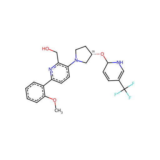 COc1ccccc1-c1ccc(N2CC[C@H](OC3C=CC(C(F)(F)F)=CN3)C2)c(CO)n1